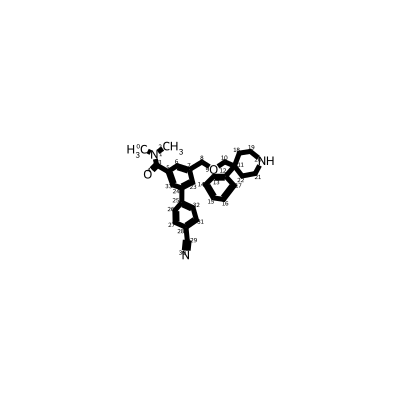 CN(C)C(=O)c1cc(COCC2(c3ccccc3)CCNCC2)cc(-c2ccc(C#N)cc2)c1